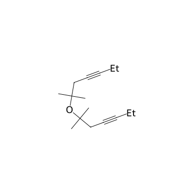 CCC#CCC(C)(C)OC(C)(C)CC#CCC